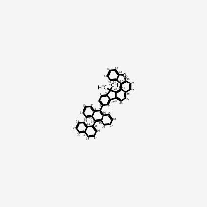 CC1(C)c2ccc(-c3c4ccccc4c(-c4cccc5ccccc45)c4ccccc34)cc2-c2ccc3ccc4oc5ccccc5c4c3c21